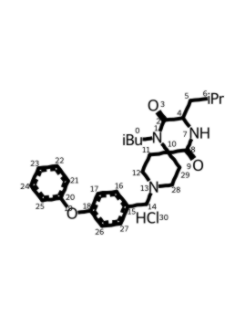 CCC(C)N1C(=O)C(CC(C)C)NC(=O)C12CCN(Cc1ccc(Oc3ccccc3)cc1)CC2.Cl